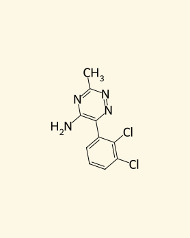 Cc1nnc(-c2cccc(Cl)c2Cl)c(N)n1